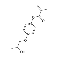 C=C(C)C(=O)Oc1ccc(OCC(C)O)cc1